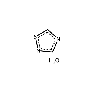 O.c1ncsn1